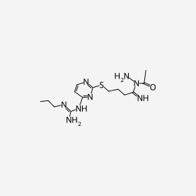 CCCN=C(N)Nc1ccnc(SCCCC(=N)N(N)C(C)=O)n1